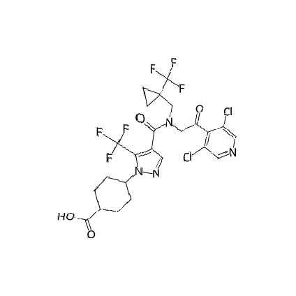 O=C(CN(CC1(C(F)(F)F)CC1)C(=O)c1cnn(C2CCC(C(=O)O)CC2)c1C(F)(F)F)c1c(Cl)cncc1Cl